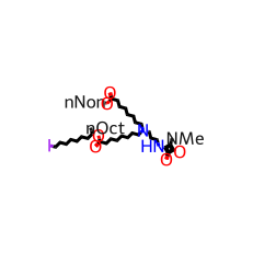 CCCCCCCCCOC(=O)CCCCCCCN(CCCCCCCC(=O)OC(CCCCCCCC)CCCCCCCI)CCCNc1c(NC)c(=O)c1=O